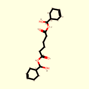 O=C(CCCCC(=O)OC(O)C1CC=CCC1)OC(O)C1CC=CCC1